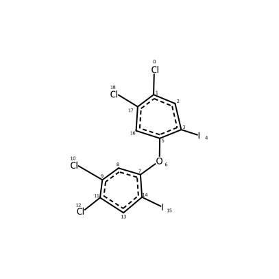 Clc1cc(I)c(Oc2cc(Cl)c(Cl)cc2I)cc1Cl